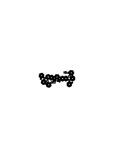 Cc1ccccc1N(c1ccc2cc3c(cc2c1)C(C)(C)c1c-3ccc2c1C(C)(C)c1cc3cc(N(c4ccccc4C)c4cccc5c4oc4c(C(C)(C)C)cccc45)ccc3cc1-2)c1cccc2c1oc1c(C(C)(C)C)cccc12